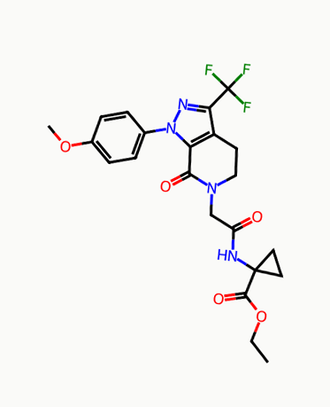 CCOC(=O)C1(NC(=O)CN2CCc3c(C(F)(F)F)nn(-c4ccc(OC)cc4)c3C2=O)CC1